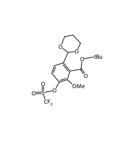 COc1c(OS(=O)(=O)C(F)(F)F)ccc(C2OCCCO2)c1C(=O)OC(C)(C)C